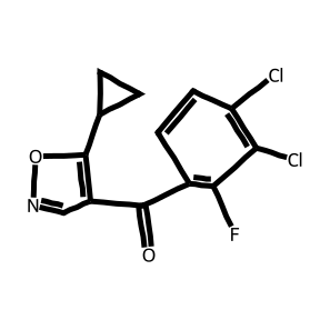 O=C(c1cnoc1C1CC1)c1ccc(Cl)c(Cl)c1F